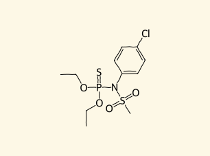 CCOP(=S)(OCC)N(c1ccc(Cl)cc1)S(C)(=O)=O